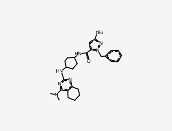 CN(C)c1nc(NC2CCC(NC(=O)c3cc(C(C)(C)C)nn3Cc3ccccc3)CC2)nc2c1CCCC2